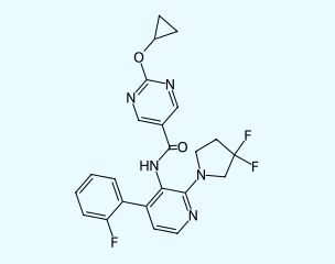 O=C(Nc1c(-c2ccccc2F)ccnc1N1CCC(F)(F)C1)c1cnc(OC2CC2)nc1